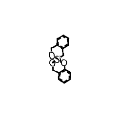 c1ccc2c(c1)CO[Si]1(C2)OCc2ccccc2O1